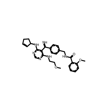 COCCNc1ncnc(NC2C=CCC2)c1C(=N)c1ccc(CNC(=O)c2ccccc2OC)cc1